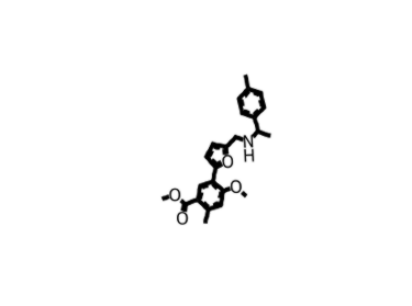 COC(=O)c1cc(-c2ccc(CNC(C)c3ccc(C)cc3)o2)c(OC)cc1C